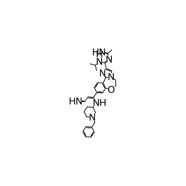 CC(=N)/N=C(\NC(C)C)c1cn2c(n1)-c1ccc(/C(=C/C=N)NC3CCCN(Cc4ccccc4)C3)cc1OCC2